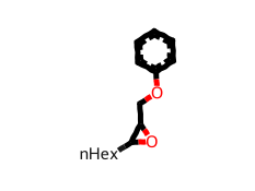 CCCCCCC1OC1COc1ccccc1